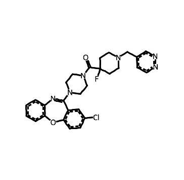 O=C(N1CCN(C2=Nc3ccccc3Oc3ccc(Cl)cc32)CC1)C1(F)CCN(Cc2ccnnc2)CC1